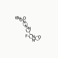 CC(C)(C)OC(=O)N1CCN(c2ccc(-c3cn4c5c(nc4cc3F)CCOC5)cn2)CC1